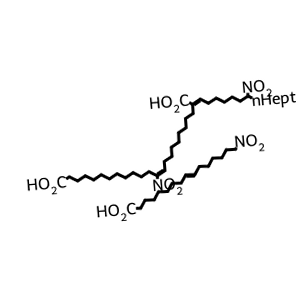 CCCCCCCC(CCCCCC=C(CCCCCCCCC=C(CCCCCCCCCCCC(=O)O)[N+](=O)[O-])C(=O)O)[N+](=O)[O-].O=C(O)CCCCCCC/C=C/CCCCCC[N+](=O)[O-]